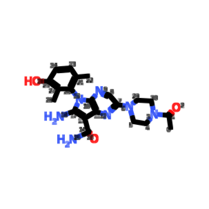 CC(=O)N1CCN(c2cnc3c(n2)c(C(N)=O)c(N)n3-c2c(C)ccc(O)c2C)CC1